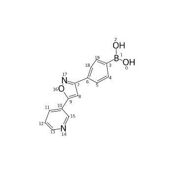 OB(O)c1ccc(-c2cc(-c3cccnc3)on2)cc1